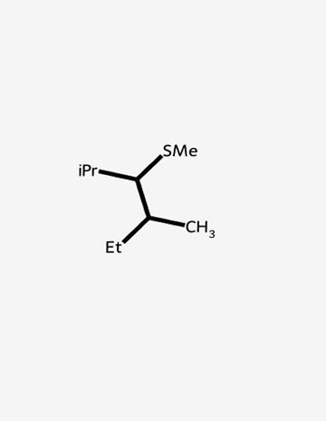 CCC(C)C(SC)C(C)C